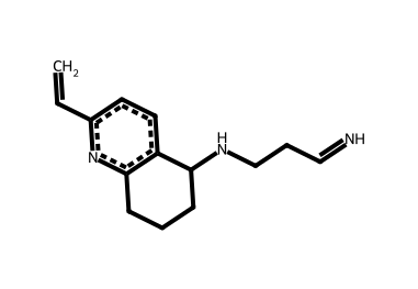 C=Cc1ccc2c(n1)CCCC2NCCC=N